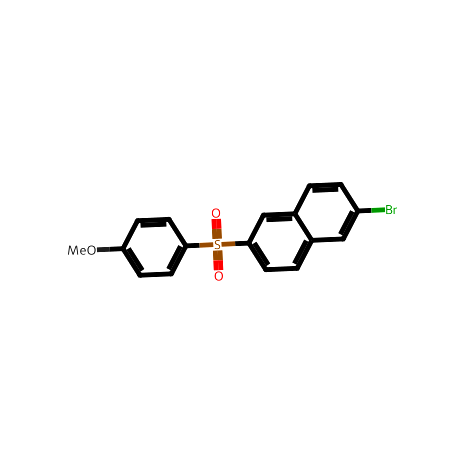 COc1ccc(S(=O)(=O)c2ccc3cc(Br)ccc3c2)cc1